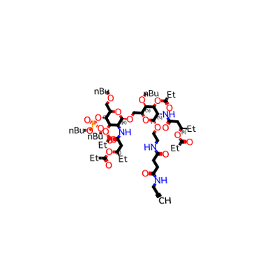 C#CCNC(=O)CCC(=O)NCCO[C@@H]1OC(CO[C@@H]2OC(COCCCC)[C@@H](OP(=O)(OCCCC)OCCCC)C(OC(=O)CC)C2NC(=O)C[C@@H](CC)OC(=O)CC)[C@@H](OCCCC)C(OC(=O)CC)[C@@H]1NC(=O)C[C@@H](CC)OC(=O)CC